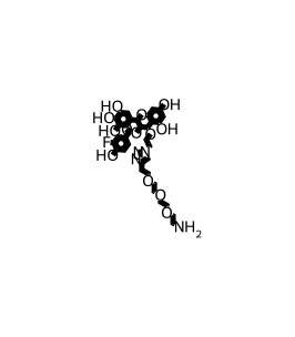 NCCOCCOCCOCCc1cn(CCOC2c3c(O)cc(O)cc3OC(c3cc(O)c(O)c(O)c3)C2OC(=O)c2ccc(O)c(F)c2)nn1